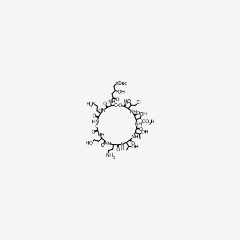 CCCCCCCCCCCC(O)CC(=O)NC1COC(=O)C(C(O)CCl)NC(=O)C([C@H](O)C(=O)O)NC(=O)C(C(C)O)NC(=O)C(C(C)O)NC(=O)C(CCN)NC(=O)C(CCO)NC(=O)CNC(=O)C(CCN)NC1=O